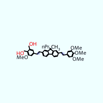 CCCC1(C)c2cc(/C=C/c3cc(CO)c(CO)c(OC)c3)ccc2-c2ccc(/C=C/c3cc(OC)c(OC)c(OC)c3)cc21